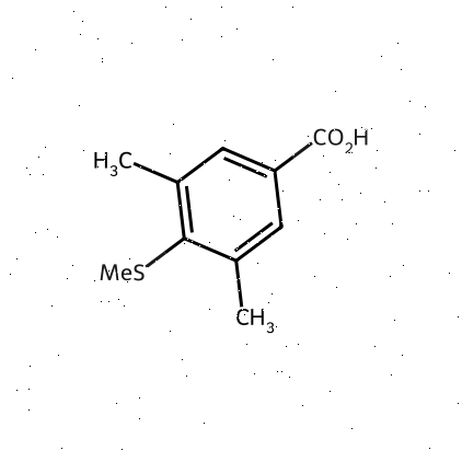 CSc1c(C)cc(C(=O)O)cc1C